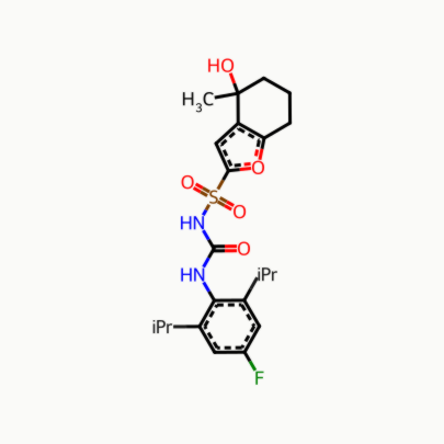 CC(C)c1cc(F)cc(C(C)C)c1NC(=O)NS(=O)(=O)c1cc2c(o1)CCCC2(C)O